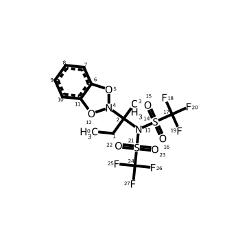 CCC(C)(N1Oc2ccccc2O1)N(S(=O)(=O)C(F)(F)F)S(=O)(=O)C(F)(F)F